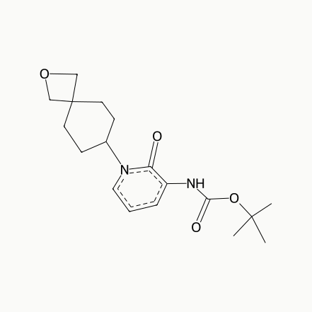 CC(C)(C)OC(=O)Nc1cccn(C2CCC3(CC2)COC3)c1=O